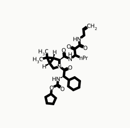 C=CCNC(=O)C(=O)C(CCC)NC(=O)[C@@H]1[C@@H]2[C@H](CN1C(=O)[C@@H](NC(=O)OC1CCCC1)C1CCCCC1)C2(C)C